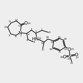 CCC(CC(CC)N1CCCCCC1=O)NC(C)Cc1ccc(OS(C)(=O)=O)cc1